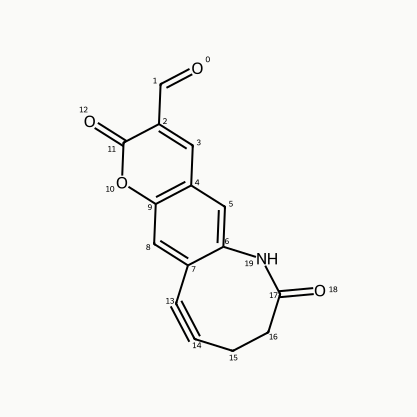 O=Cc1cc2cc3c(cc2oc1=O)C#CCCC(=O)N3